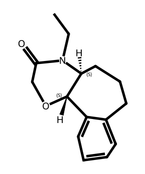 CCN1C(=O)CO[C@H]2c3ccccc3CCC[C@@H]21